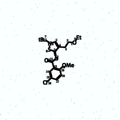 CCOCCc1cn(C(C)(C)C)sc1=NC(=O)c1cc(Cl)ccc1OC